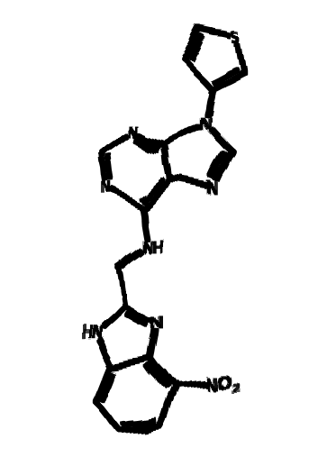 O=[N+]([O-])c1cccc2[nH]c(CNc3ncnc4c3ncn4-c3ccsc3)nc12